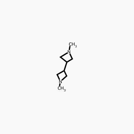 CN1CC(C2CN(C)C2)C1